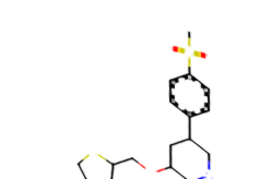 CN1CC(OCC2CCCS2)CC(c2ccc(S(C)(=O)=O)cc2)C1